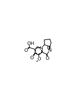 COc1c2n(cc(C(=O)O)c1=O)C1CCCC13OCCN3C2=O